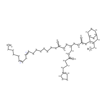 CCCCC/C=C\C/C=C\CCCCCCCC(=O)OCC(COC(=O)CCCN1CCCC1)COC(=O)CC1C(CC)CC2CCCC1C2